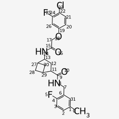 Cc1ccc(F)c(CNC(=O)C2CC(NC(=O)COc3ccc(Cl)c(F)c3)C3CC2C3)c1